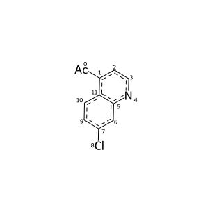 CC(=O)c1ccnc2cc(Cl)ccc12